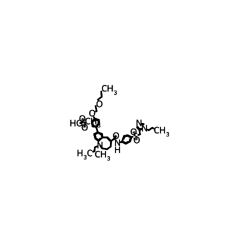 CCCCOCCOc1ccc(-c2ccc3c(c2)/C=C(/C(=O)Nc2ccc(S(=O)(=O)Cc4cncn4CCC)cc2)CCCN3CC(C)C)cc1.CS(=O)(=O)O